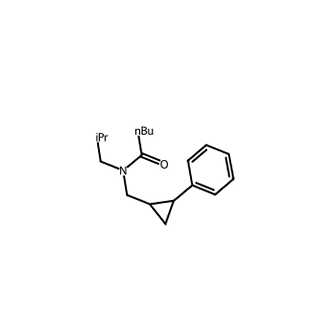 CCCCC(=O)N(CC(C)C)CC1CC1c1ccccc1